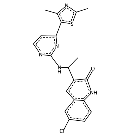 Cc1nc(C)c(-c2ccnc(NC(C)c3cc4cc(Cl)ccc4[nH]c3=O)n2)s1